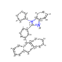 c1ccc(-n2c(-c3cccc(-c4c5ccccc5cc5ccccc45)c3)nc3ccccc32)cc1